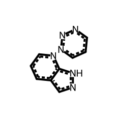 c1cnc2[nH]ncc2c1.c1cnnnc1